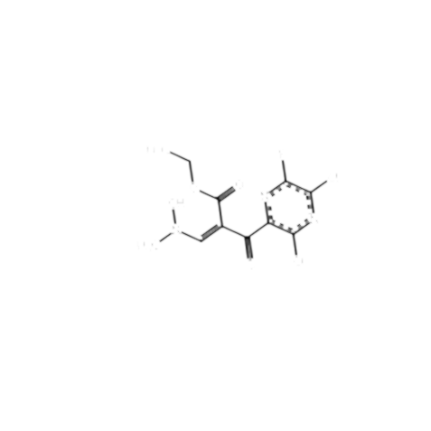 CCOC(=O)/C(=C\N(C)C)C(=O)c1nc(F)c(Cl)nc1Cl